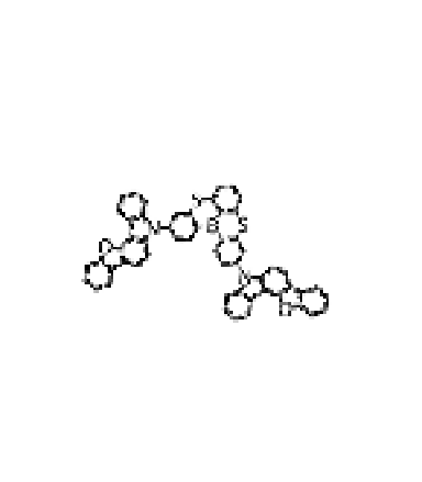 c1cc2c3c(c1)Sc1cc(-n4c5ccccc5c5c6oc7ccccc7c6ccc54)ccc1B3c1ccc(-n3c4ccccc4c4c5oc6ccccc6c5ccc43)cc1S2